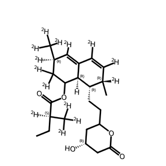 [2H]C1=C([2H])[C@]([2H])(C)[C@H](CCC2C[C@@H](O)CC(=O)O2)[C@@H]2C1=C([2H])[C@]([2H])(C([2H])([2H])[2H])C([2H])([2H])C2OC(=O)[C@]([2H])(CC)C([2H])([2H])[2H]